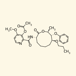 CCCO[C@H]1CCCC[C@H](NC(=O)c2nccc(OC)c2OC(C)=O)C(=O)O[C@@H](C)[C@@H]1Oc1ccccc1